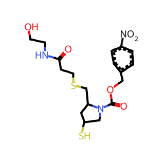 O=C(CCSCC1CC(S)CN1C(=O)OCc1ccc([N+](=O)[O-])cc1)NCCO